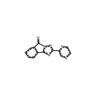 O=C1c2ccccc2-c2nc(-c3cnccn3)nn21